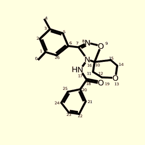 Cc1cc(C)cc(C2=NOC3(CCOCC3)N2NC(=O)c2ccccc2)c1